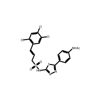 CC(=O)Nc1ccc(-c2nnc(NS(=O)(=O)CC=Cc3cc(Cl)c(Cl)cc3Cl)s2)cc1